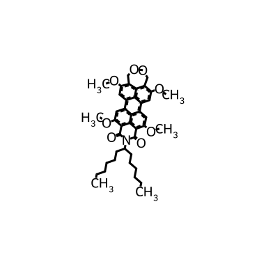 CCCCCCC(CCCCCC)N1C(=O)c2c(OC)cc3c4cc(OC)c5c6c(c(OC)cc(c7cc(OC)c(c2c37)C1=O)c64)COOC5